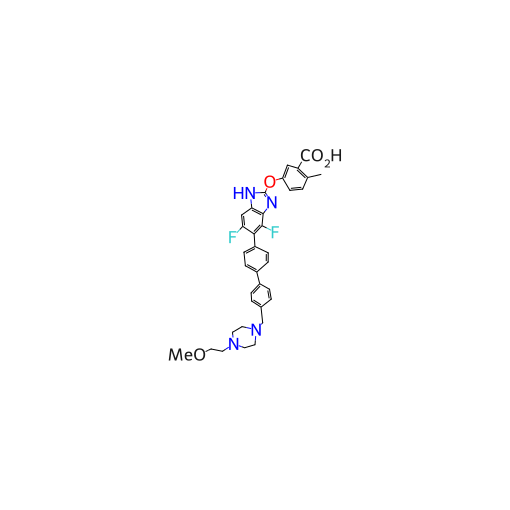 COCCN1CCN(Cc2ccc(-c3ccc(-c4c(F)cc5[nH]c(Oc6ccc(C)c(C(=O)O)c6)nc5c4F)cc3)cc2)CC1